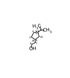 CC(C)N1CC[C@H](CCO)C1